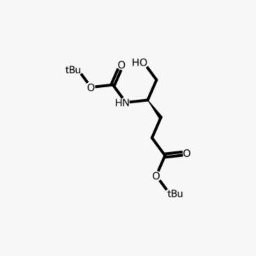 CC(C)(C)OC(=O)CC[C@H](CO)NC(=O)OC(C)(C)C